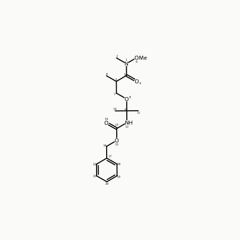 CON(C)C(=O)C(C)COC(C)(C)NC(=O)OCc1ccccc1